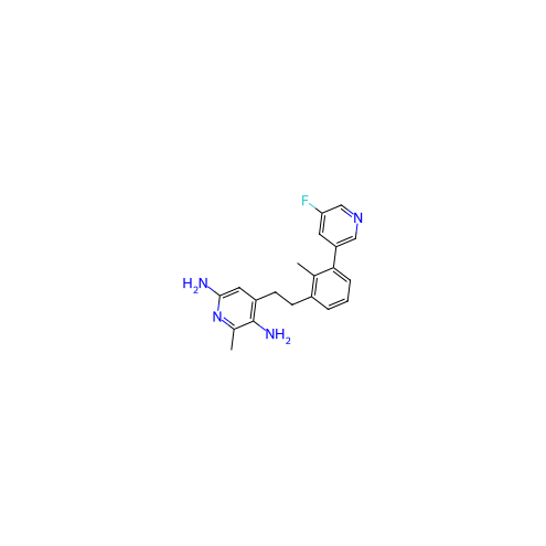 Cc1nc(N)cc(CCc2cccc(-c3cncc(F)c3)c2C)c1N